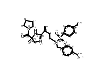 C=C(CCN(Cc1ccc(C(F)(F)F)cc1)S(=O)(=O)c1ccc(F)cc1)C1=NC[C@](C)(C(=O)N2CCCC2)N1